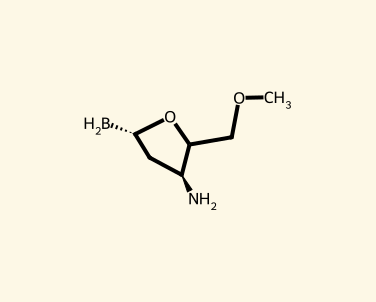 B[C@H]1C[C@H](N)C(COC)O1